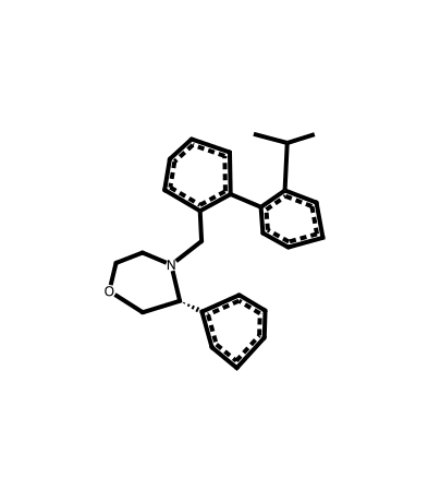 CC(C)c1ccccc1-c1ccccc1CN1CCOC[C@H]1c1ccccc1